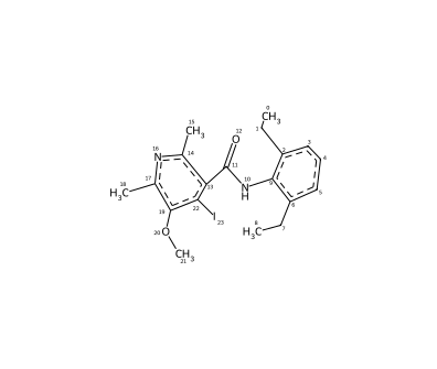 CCc1cccc(CC)c1NC(=O)c1c(C)nc(C)c(OC)c1I